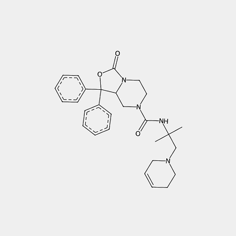 CC(C)(CN1CC=CCC1)NC(=O)N1CCN2C(=O)OC(c3ccccc3)(c3ccccc3)C2C1